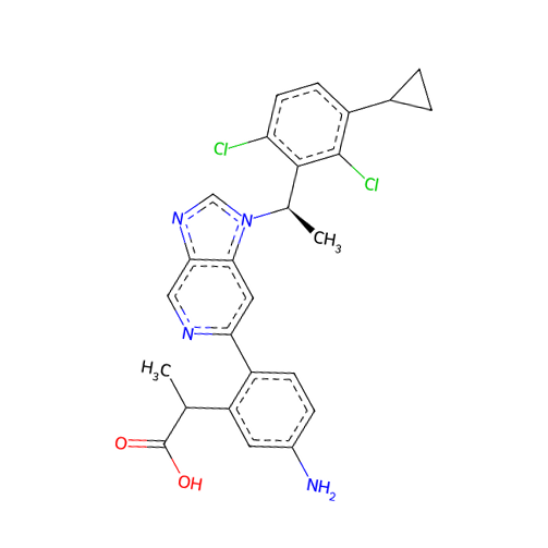 CC(C(=O)O)c1cc(N)ccc1-c1cc2c(cn1)ncn2[C@H](C)c1c(Cl)ccc(C2CC2)c1Cl